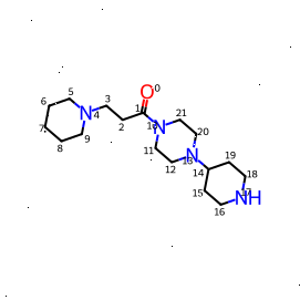 O=C(CCN1CC[CH]CC1)N1CCN(C2CCNCC2)CC1